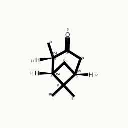 C[C@@H]1C(=O)C[C@H]2C[C@@H]1C2(C)C